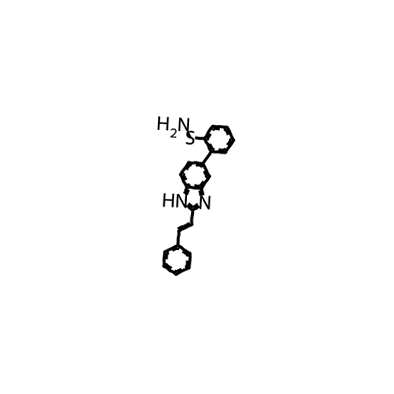 NSc1ccccc1-c1ccc2[nH]c(/C=C/c3ccccc3)nc2c1